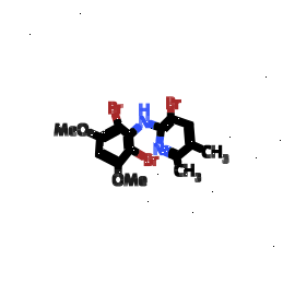 COc1cc(OC)c(Br)c(Nc2nc(C)c(C)cc2Br)c1Br